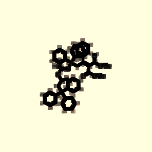 COC(=O)C(C(=O)OC)=C(CS(OB(O)OC(C)CC(c1ccccc1)(c1ccccc1)c1ccccc1)(c1ccccc1)c1ccccc1)c1ccccc1